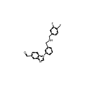 O=Cc1ccc2c(c1)ncn2-c1cccc(CNCc2ccc(F)c(F)c2)c1